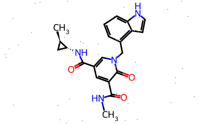 CNC(=O)c1cc(C(=O)N[C@@H]2C[C@H]2C)cn(Cc2cccc3[nH]ccc23)c1=O